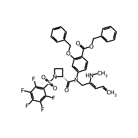 C=C/C=C(/CN(C(=O)[C@H]1CCN1S(=O)(=O)c1c(F)c(F)c(F)c(F)c1F)c1ccc(C(=O)OCc2ccccc2)c(OCc2ccccc2)c1)NC